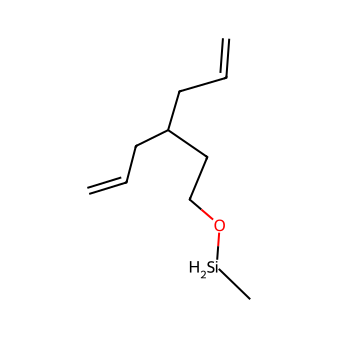 C=CCC(CC=C)CCO[SiH2]C